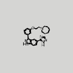 c1cc(OCCN2CCCCCC2)cc(-c2n[nH]c3ccc(-c4ncn[nH]4)cc23)c1